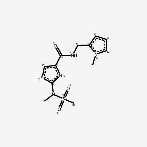 CN(c1nc(C(=O)NCc2cccn2C)cs1)S(C)(=O)=O